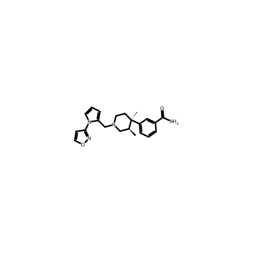 C[C@H]1CN(Cc2cccn2-c2ccon2)CC[C@@]1(C)c1cccc(C(N)=O)c1